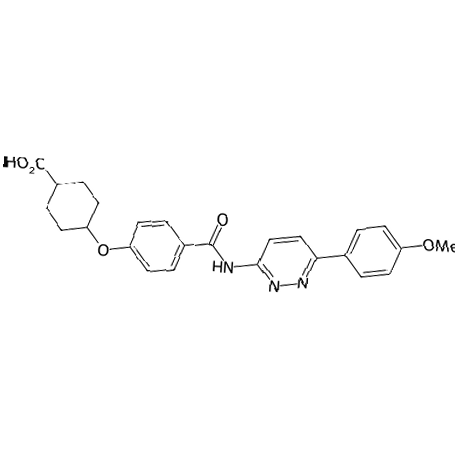 COc1ccc(-c2ccc(NC(=O)c3ccc(OC4CCC(C(=O)O)CC4)cc3)nn2)cc1